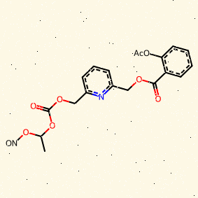 CC(=O)Oc1ccccc1C(=O)OCc1cccc(COC(=O)OC(C)ON=O)n1